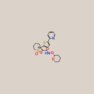 O=C(C[C@]1(c2ccc(-c3ccccn3)s2)CCCCS1(=O)=O)NOC1CCCCO1